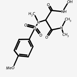 COc1ccc(S(=O)(=O)N(C)C(C(=O)NO)C(=O)N(C)C)cc1